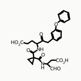 O=CC(CC(=O)O)NC(=O)C1(C(=O)NC(CCC(=O)O)C(=O)Cc2cccc(Oc3ccccc3)c2)CC1